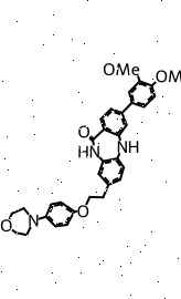 COc1ccc(-c2ccc3c(c2)Nc2ccc(CCOc4ccc(N5CCOCC5)cc4)cc2NC3=O)cc1OC